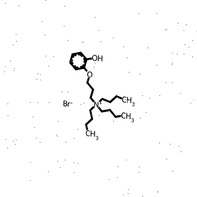 CCCC[N+](CCCC)(CCCC)CCCOc1ccccc1O.[Br-]